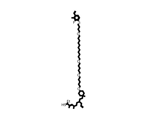 C=CCC(CCC(C)/C=C(\C)C(S)CC)CCC1(C)CCC(OCCCCCOCCCCCOCCCCCCCCCCCOCCCCSc2ccc(C=C)c(C)c2F)CC1